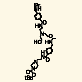 CC(C)NCc1ccc(C(=O)NCCN(CCO)CCOC(C)NCc2ccc(C(=O)NCCN3CCN(C(=O)OC(C)(C)C)CC3)cc2)cc1